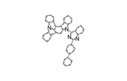 c1ccc(-c2ccc(-c3nc(-n4c5ccccc5c5c6c7ccccc7n7c8ccccc8c(cc54)c67)c4ccccc4n3)cc2)cc1